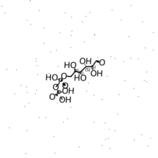 O=C[C@@H](O)[C@@H](O)[C@H](O)[C@H](O)COP(=O)(O)OP(=O)(O)O